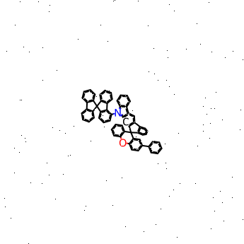 c1ccc(-c2ccc3c(c2)C2(c4ccccc4O3)c3ccccc3-c3cc4c5ccccc5n(-c5cccc6c5-c5ccccc5C65c6ccccc6-c6ccccc65)c4cc32)cc1